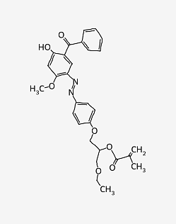 C=C(C)C(=O)OC(COCC)COc1ccc(N=Nc2cc(C(=O)c3ccccc3)c(O)cc2OC)cc1